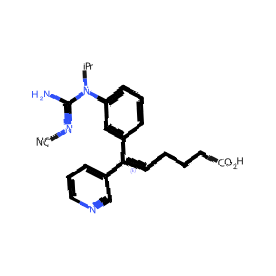 CC(C)N(C(N)=NC#N)c1cccc(/C(=C\CCCC(=O)O)c2cccnc2)c1